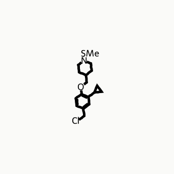 CSN1CCC(COc2ccc(CCl)cc2C2CC2)CC1